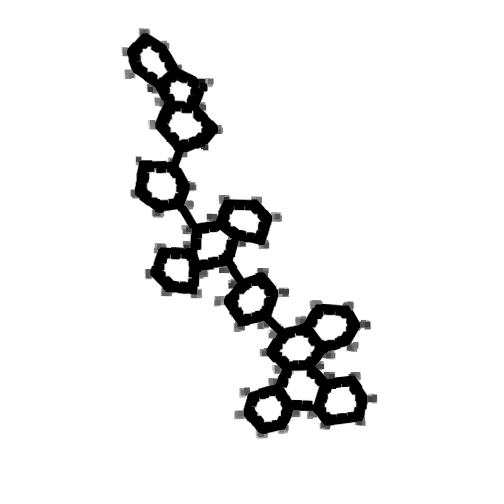 c1cc(-c2ccc3sc4ccccc4c3c2)cc(-c2c3ccccc3c(-c3ccc(-c4cc5c6ccccc6c6ccccc6c5c5ccccc45)cc3)c3ccccc23)c1